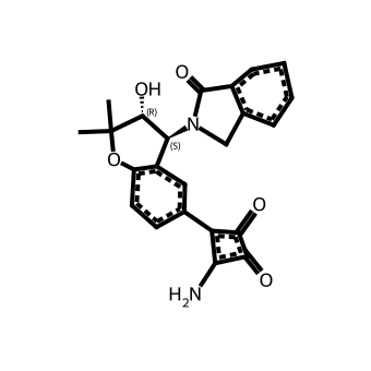 CC1(C)Oc2ccc(-c3c(N)c(=O)c3=O)cc2[C@H](N2Cc3ccccc3C2=O)[C@H]1O